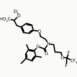 CCOC(Cc1ccc(OCCN(CCCOC(F)(F)C(F)(F)F)C(=O)Oc2c(C)cc(C)cc2C)cc1)C(=O)O